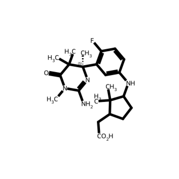 CN1C(=O)C(C)(C)[C@@](C)(c2cc(NC3CCC(CC(=O)O)C3(C)C)ccc2F)N=C1N